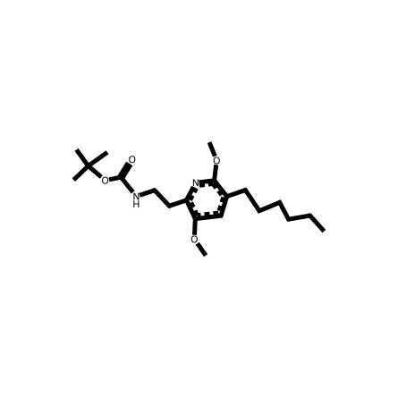 CCCCCCc1cc(OC)c(CCNC(=O)OC(C)(C)C)nc1OC